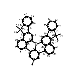 Cc1cc2c3c(c1)-c1cccc4c5c(cc(c14)B3c1cc3c(c4cccc-2c14)C(C)(C)c1ccccc1-3)-c1ccccc1C5(C)C